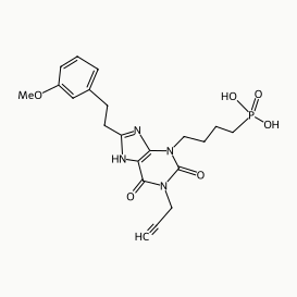 C#CCn1c(=O)c2[nH]c(CCc3cccc(OC)c3)nc2n(CCCCP(=O)(O)O)c1=O